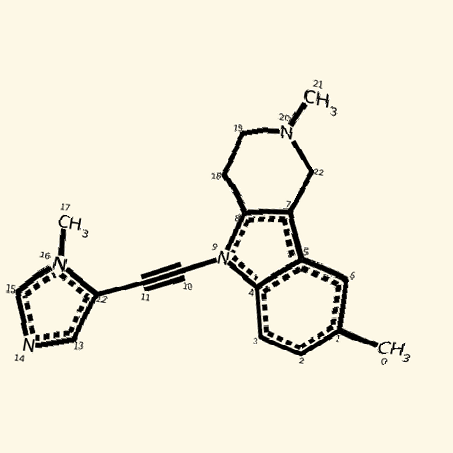 Cc1ccc2c(c1)c1c(n2C#Cc2cncn2C)CCN(C)C1